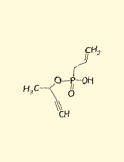 C#CC(C)OP(=O)(O)CC=C